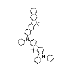 CC1(C)c2cc3ccccc3cc2-c2cc3ccc(N(c4ccccc4)c4ccc5c(c4)C(C)(C)c4c-5ccc5c4c4ccccc4n5-c4ccccc4)cc3cc21